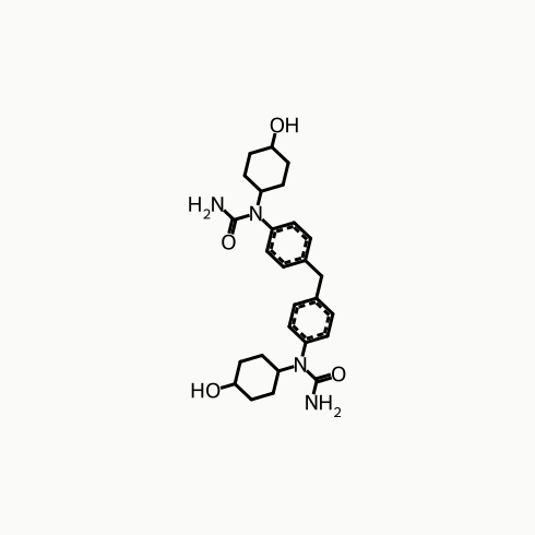 NC(=O)N(c1ccc(Cc2ccc(N(C(N)=O)C3CCC(O)CC3)cc2)cc1)C1CCC(O)CC1